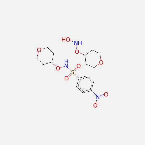 O=[N+]([O-])c1ccc(S(=O)(=O)NOC2CCOCC2)cc1.ONOC1CCOCC1